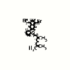 CC(C)CCCC(C)CCOc1ccccc1-c1ccc2c(CBr)ccc(CBr)c2c1